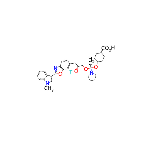 Cn1cc(-c2nc3ccc(CC(=O)COC(C)(O[C@H]4CC[C@H](C(=O)O)CC4)N4CCCC4)c(F)c3o2)c2ccccc21